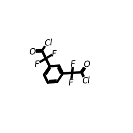 O=C(Cl)C(F)(F)c1cccc(C(F)(F)C(=O)Cl)c1